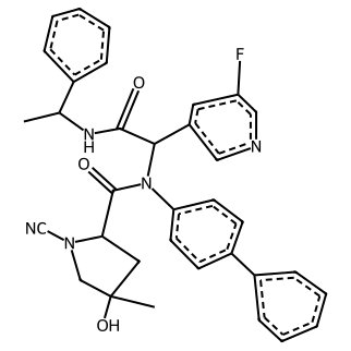 CC(NC(=O)C(c1cncc(F)c1)N(C(=O)C1CC(C)(O)CN1C#N)c1ccc(-c2ccccc2)cc1)c1ccccc1